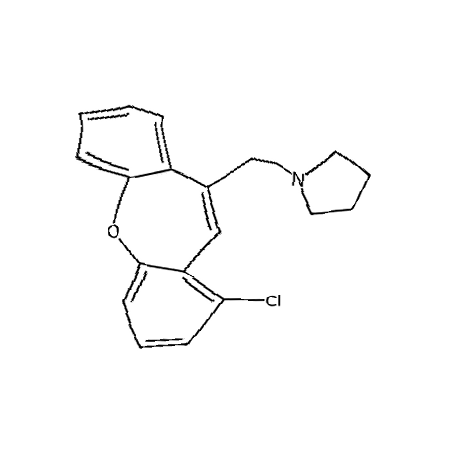 Clc1cccc2c1C=C(CN1CCCC1)c1ccccc1O2